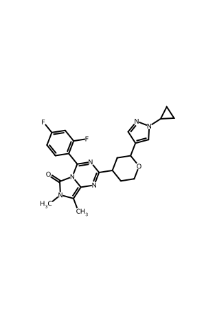 Cc1c2nc(C3CCOC(c4cnn(C5CC5)c4)C3)nc(-c3ccc(F)cc3F)n2c(=O)n1C